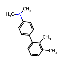 Cc1cccc(-c2ccc(N(C)C)cc2)c1C